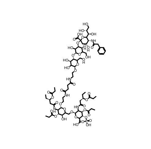 CCC(=O)O[C@H](CC)CC(=O)NC1[C@H](OCCNC(=O)CCC(=O)NCCO[C@@H]2OC(CO)[C@@H](O[C@@H]3OC(CO)[C@H](O)[C@H](O[C@]4(C(=O)O)C[C@@H](O)[C@@H](NC(=O)Cc5ccccc5)C([C@H](O)[C@H](O)CO)O4)C3O)[C@H](O)C2O)OC(CO[C@@H]2OC(CO)[C@@H](OP(=O)(O)O)[C@H](OC(=O)CC)C2NC(=O)C[C@@H](CC)OC(=O)CC)[C@@H](O)[C@@H]1OC(=O)CC